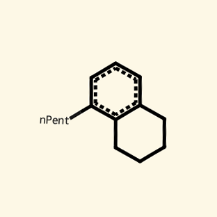 CCCCCc1cccc2c1CCCC2